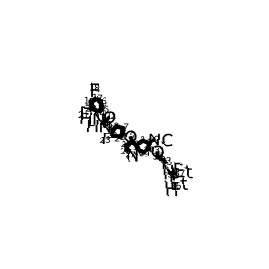 [C-]#[N+]c1cc2c(Oc3ccc(NC(=O)Nc4ccc(F)cc4F)c(F)c3)ccnc2cc1OCCNC(CC)CC